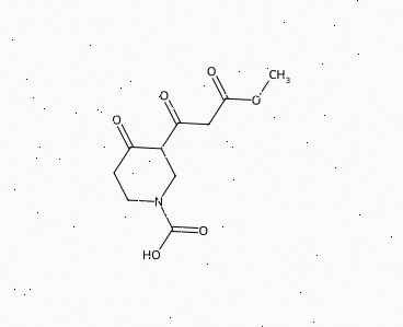 COC(=O)CC(=O)C1CN(C(=O)O)CCC1=O